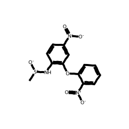 C[S+]([O-])Nc1ccc([N+](=O)[O-])cc1Oc1ccccc1[N+](=O)[O-]